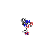 O=C(/C=C/c1cccc([N+](=O)[O-])c1)N1CCc2c([nH]c3ccccc23)C1c1ccc2c(c1)CCO2